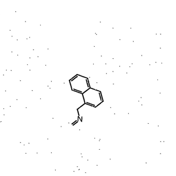 C=NCc1cccc2ccccc12